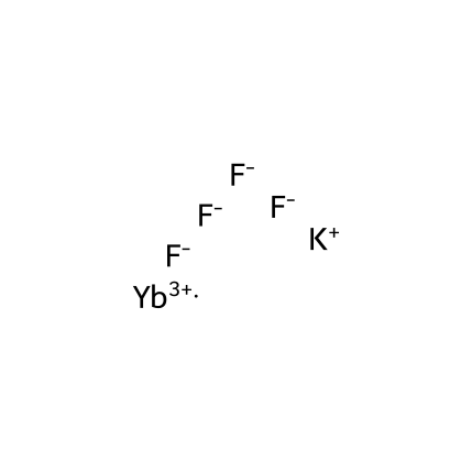 [F-].[F-].[F-].[F-].[K+].[Yb+3]